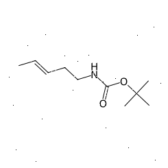 CC=CCCNC(=O)OC(C)(C)C